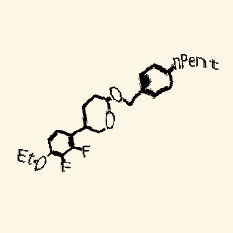 CCCCCc1ccc(COC2CCC(c3ccc(OCC)c(F)c3F)CO2)cc1